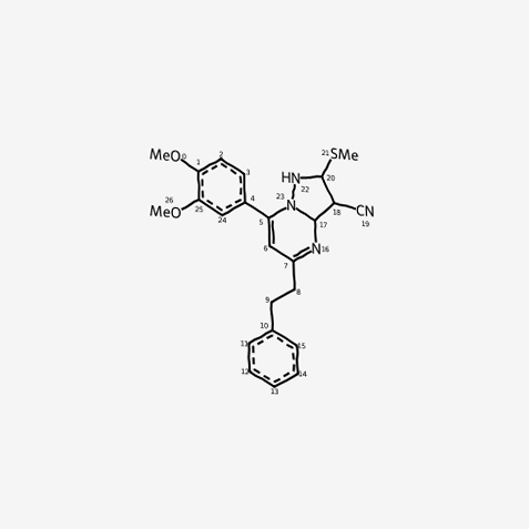 COc1ccc(C2=CC(CCc3ccccc3)=NC3C(C#N)C(SC)NN23)cc1OC